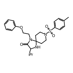 Cc1ccc(S(=O)(=O)N2CCC3(CC2)NC(C(C)C)C(=O)N3CCOc2ccccc2)cc1